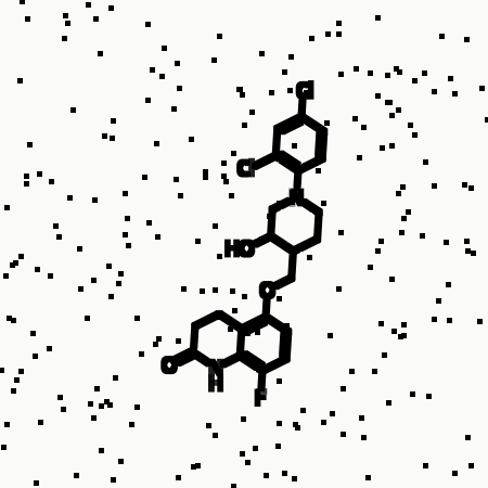 O=C1CCc2c(OCC3CCN(c4ccc(Cl)cc4Cl)CC3O)ccc(F)c2N1